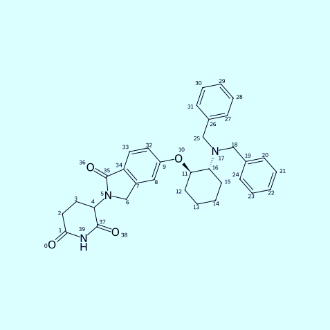 O=C1CCC(N2Cc3cc(O[C@@H]4CCCC[C@H]4N(Cc4ccccc4)Cc4ccccc4)ccc3C2=O)C(=O)N1